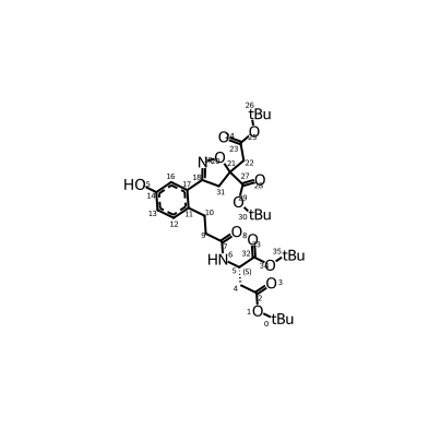 CC(C)(C)OC(=O)C[C@H](NC(=O)CCc1ccc(O)cc1C1=NOC(CC(=O)OC(C)(C)C)(C(=O)OC(C)(C)C)C1)C(=O)OC(C)(C)C